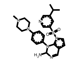 CC(C)c1cncc(S(=O)(=O)n2ccc3c2N(c2ccc(N4CCN(C)CC4)cc2)C(N)N=C3)c1